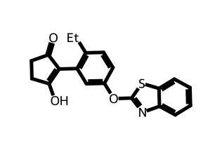 CCc1ccc(Oc2nc3ccccc3s2)cc1C1=C(O)CCC1=O